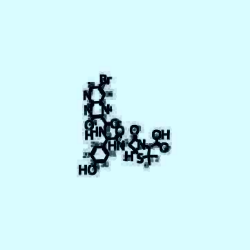 CC1(C)S[C@@H]2[C@H](NC(=O)C(NC(=O)c3nc4cc(Br)cnc4nc3O)c3ccc(O)cc3)C(=O)N2[C@H]1C(=O)O